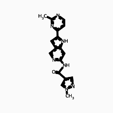 Cc1nccc(-c2cc3cnc(NC(=O)c4cnn(C)c4)cc3[nH]2)n1